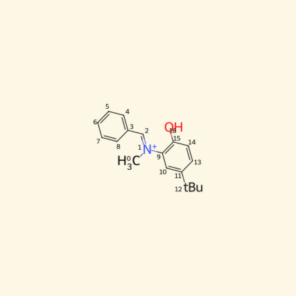 C/[N+](=C\c1ccccc1)c1cc(C(C)(C)C)ccc1O